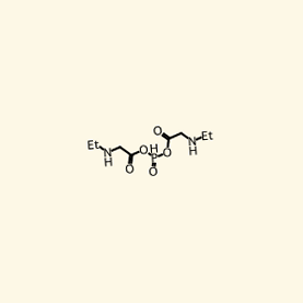 CCNCC(=O)O[PH](=O)OC(=O)CNCC